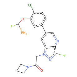 O=C(Cn1nc(F)c2ncc(-c3ccc(Cl)c(OC(F)P)c3)cc21)N1CCC1